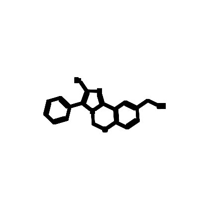 OCc1ccc2c(c1)-c1nc(Br)c(-c3ccccc3)n1CO2